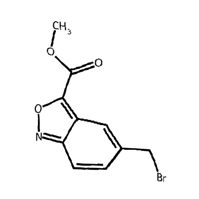 COC(=O)c1onc2ccc(CBr)cc12